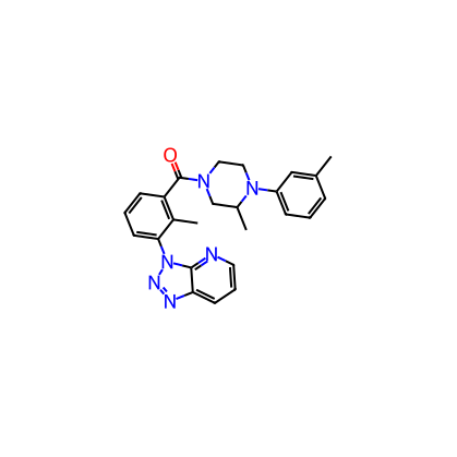 Cc1cccc(N2CCN(C(=O)c3cccc(-n4nnc5cccnc54)c3C)CC2C)c1